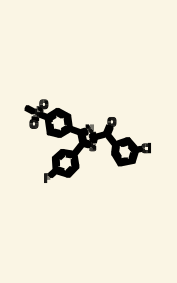 CS(=O)(=O)c1ccc(-c2nc(C(=O)c3cccc(Cl)c3)sc2-c2ccc(F)cc2)cc1